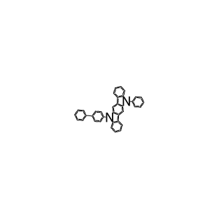 c1ccc(-c2ccc(-n3c4ccccc4c4cc5c(cc43)c3ccccc3n5-c3ccccc3)cc2)cc1